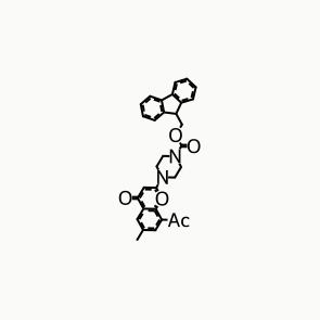 CC(=O)c1cc(C)cc2c(=O)cc(N3CCN(C(=O)OCC4c5ccccc5-c5ccccc54)CC3)oc12